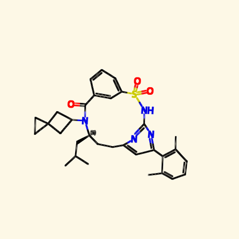 Cc1cccc(C)c1-c1cc2nc(n1)NS(=O)(=O)c1cccc(c1)C(=O)N(C1CC3(CC3)C1)[C@H](CC(C)C)CC2